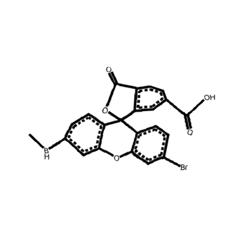 CBc1ccc2c(c1)Oc1cc(Br)ccc1C21OC(=O)c2ccc(C(=O)O)cc21